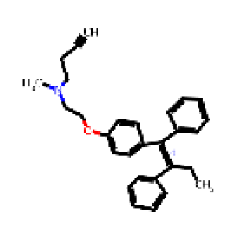 C#CCCN(C)CCOc1ccc(/C(=C(/CC)c2ccccc2)c2ccccc2)cc1